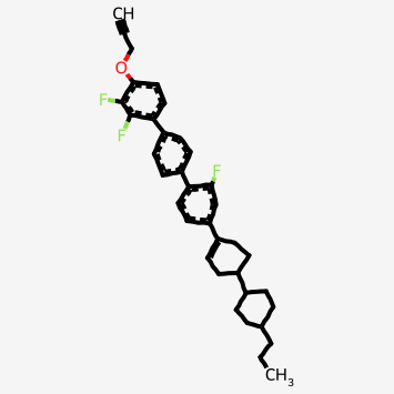 C#CCOc1ccc(-c2ccc(-c3ccc(C4=CCC(C5CCC(CCC)CC5)CC4)cc3F)cc2)c(F)c1F